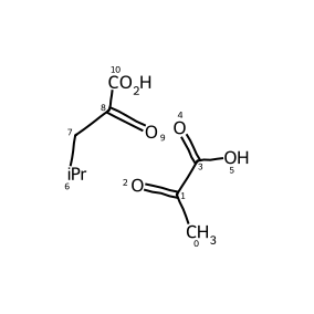 CC(=O)C(=O)O.CC(C)CC(=O)C(=O)O